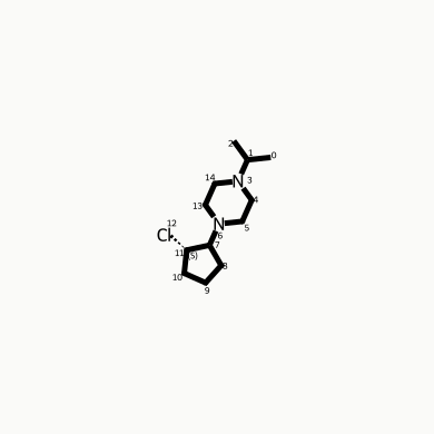 CC(C)N1CCN(C2CCC[C@@H]2Cl)CC1